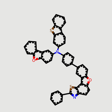 c1ccc(-c2nc3ccc4oc5ccc(-c6ccc(N(c7ccc8c(c7)sc7ccccc78)c7ccc8oc9ccccc9c8c7)cc6)cc5c4c3s2)cc1